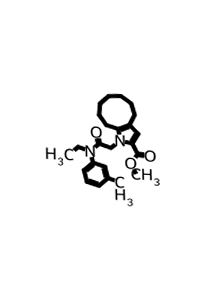 CCN(C(=O)Cn1c(C(=O)OC)cc2c1CCCCCCC2)c1cccc(C)c1